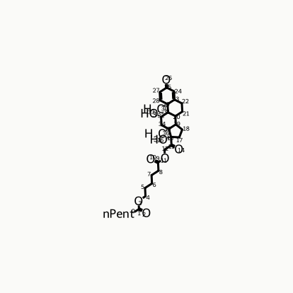 [CH2]CCCCC(=O)OCCCCCC(=O)OCC(=O)[C@@]1(O)CCC2C3CCC4=CC(=O)C=C[C@]4(C)C3[C@@H](O)C[C@@]21C